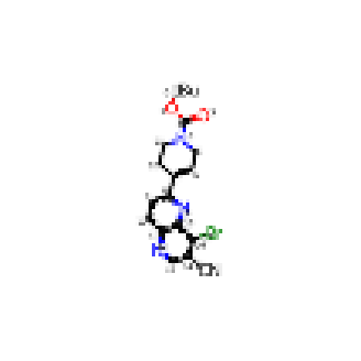 CC(C)(C)OC(=O)N1CC=C(c2ccc3ncc(C#N)c(Br)c3n2)CC1